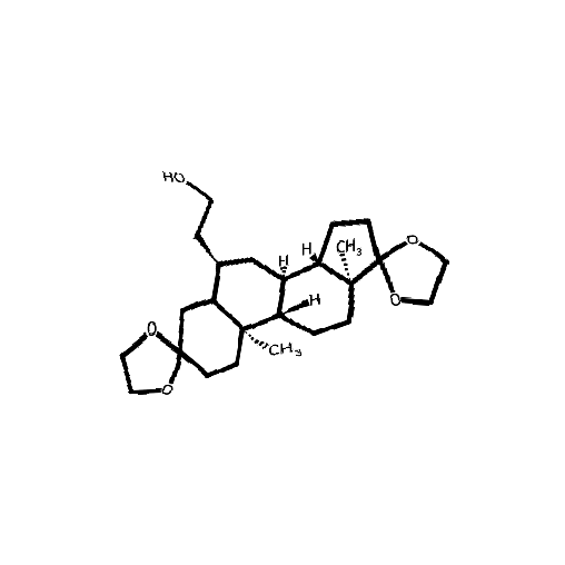 C[C@]12CCC3(CC1[C@@H](CCO)C[C@@H]1[C@@H]2CC[C@@]2(C)[C@H]1CCC21OCCO1)OCCO3